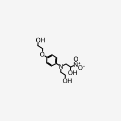 O=[N+]([O-])C(O)CN(CCO)c1ccc(OCCO)cc1